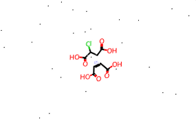 O=C(O)/C=C\C(=O)O.O=C(O)CC(Cl)C(=O)O